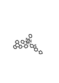 c1ccc(-c2ccc3c(c2)sc2cc(-c4nc(-c5ccccc5)nc(-c5ccccc5-c5ccccc5-c5ccc6c7ccccc7c7ccccc7c6c5)n4)ccc23)cc1